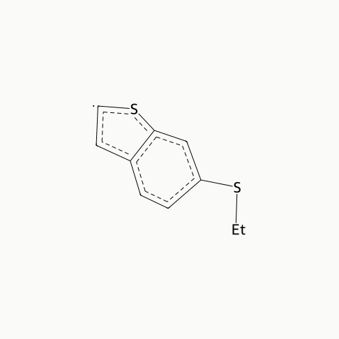 CCSc1ccc2c[c]sc2c1